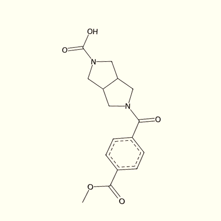 COC(=O)c1ccc(C(=O)N2CC3CN(C(=O)O)CC3C2)cc1